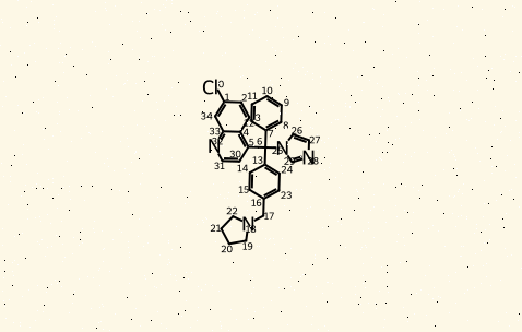 Clc1ccc2c(C(c3ccccc3)(c3ccc(CN4CCCC4)cc3)n3ccnc3)ccnc2c1